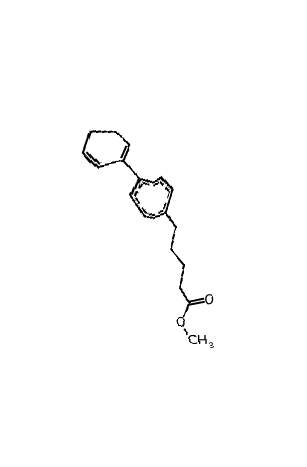 COC(=O)CCCCc1ccc(C2=CCCC=C2)cc1